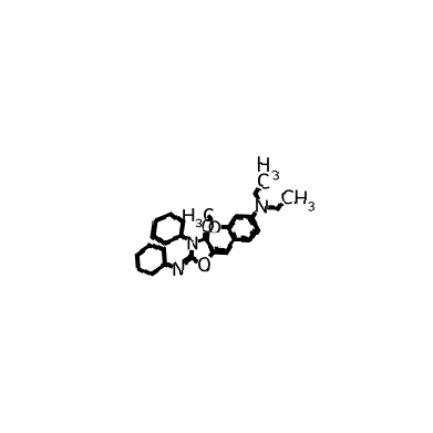 CCN(CC)c1ccc(/C=C2/O/C(=N/C3CCCCC3)N(C3CCCCC3)C2=O)c(OC)c1